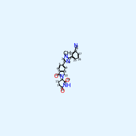 Cn1cc(-c2ccc3c(c2)CN(C2CCC(=O)NC2=O)C3=O)nc1-c1cccc(C#N)c1